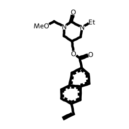 C=Cc1ccc2cc(C(=O)OC3CN(CC)C(=O)N(COC)C3)ccc2c1